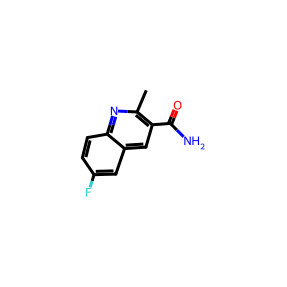 Cc1nc2ccc(F)cc2cc1C(N)=O